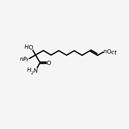 CCCCCCCCC=CCCCCCCC(O)(CCC)C(N)=O